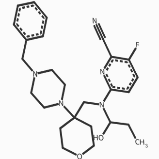 CCC(O)N(CC1(N2CCN(Cc3ccccc3)CC2)CCOCC1)c1ccc(F)c(C#N)n1